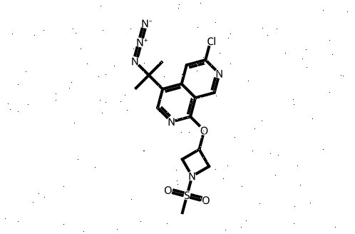 CC(C)(N=[N+]=[N-])c1cnc(OC2CN(S(C)(=O)=O)C2)c2cnc(Cl)cc12